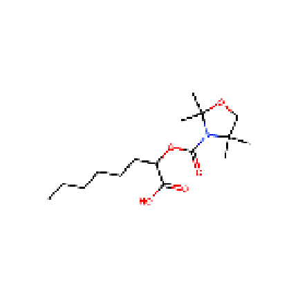 CCCCCCC(OC(=O)N1C(C)(C)COC1(C)C)C(=O)O